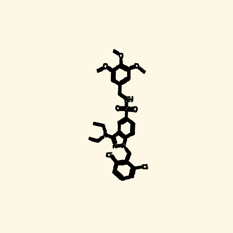 CCN(CC)c1nn(Cc2c(Cl)cccc2Cl)c2ccc(S(=O)(=O)NCc3cc(OC)c(OC)c(OC)c3)cc12